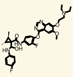 CCN(CC)CCOc1cc2ncnc(Oc3ccc(NC(=O)C4(C(O)Nc5ccc(F)cc5)[C@H](C)[C@H]4C)cc3F)c2cc1OC